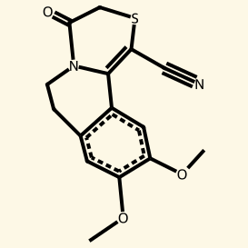 COc1cc2c(cc1OC)C1=C(C#N)SCC(=O)N1CC2